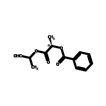 CC(C=O)OC(=O)[C@H](C)OC(=O)c1ccccc1